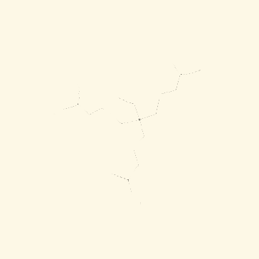 CC(O)COCC(CO)(COCC(C)O)COCC(C)O